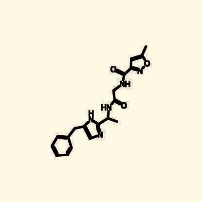 Cc1cc(C(=O)NCC(=O)NC(C)c2ncc(Cc3ccccc3)[nH]2)no1